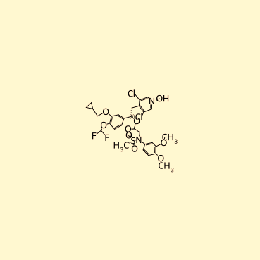 COc1ccc(N(CC(=O)O[C@@H](Cc2c(Cl)c[n+](O)cc2Cl)c2ccc(OC(F)F)c(OCC3CC3)c2)S(C)(=O)=O)cc1OC